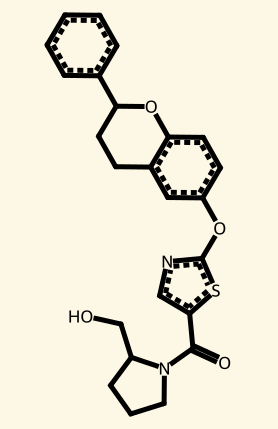 O=C(c1cnc(Oc2ccc3c(c2)CCC(c2ccccc2)O3)s1)N1CCCC1CO